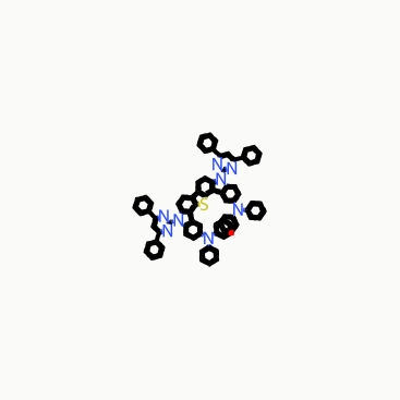 c1ccc(-c2cc(-c3ccccc3)nc(-n3c4ccc(N(c5ccccc5)c5ccccc5)cc4c4c5sc6c(ccc7c6c6cc(N(c8ccccc8)c8ccccc8)ccc6n7-c6nc(-c7ccccc7)cc(-c7ccccc7)n6)c5ccc43)n2)cc1